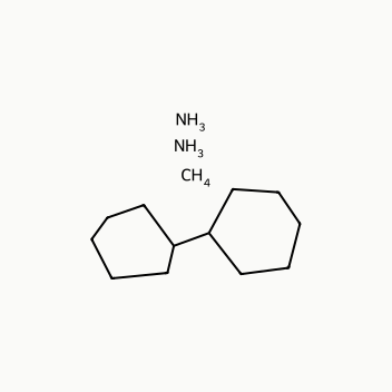 C.C1CCC(C2CCCCC2)CC1.N.N